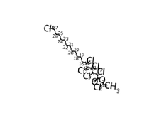 CC(Cl)OC(=O)C(Cl)C(Cl)C(Cl)C(Cl)C(Cl)CCCCCCCCCCCCCl